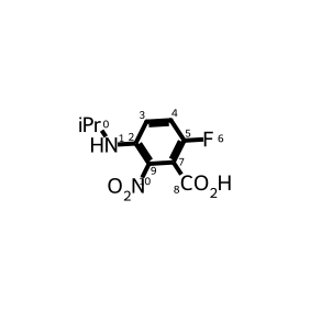 CC(C)Nc1ccc(F)c(C(=O)O)c1[N+](=O)[O-]